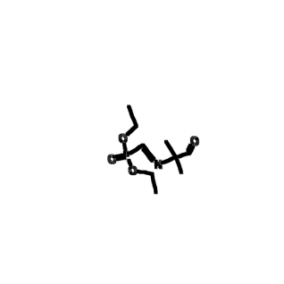 CCOP(=O)(C=NC(C)(C)C=O)OCC